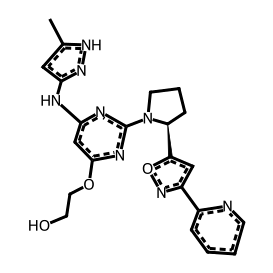 Cc1cc(Nc2cc(OCCO)nc(N3CCC[C@H]3c3cc(-c4ccccn4)no3)n2)n[nH]1